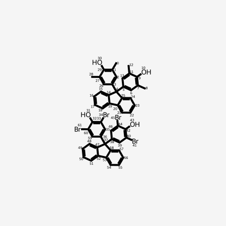 Cc1cc(C2(c3cc(C)c(O)c(C)c3)c3ccccc3-c3ccccc32)cc(C)c1O.Oc1c(Br)cc(C2(c3cc(Br)c(O)c(Br)c3)c3ccccc3-c3ccccc32)cc1Br